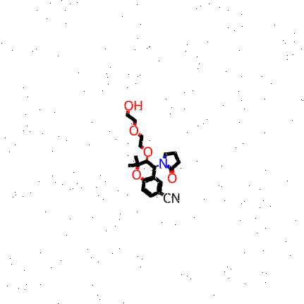 CC1(C)Oc2ccc(C#N)cc2[C@@H](N2CCCC2=O)[C@@H]1OCCOCCO